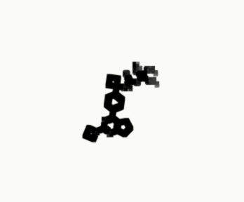 CC(C)(C)OC(=O)NC1(c2ccc(-c3nc(N4CCC4)nc4c3CCC4)cc2)CCC1